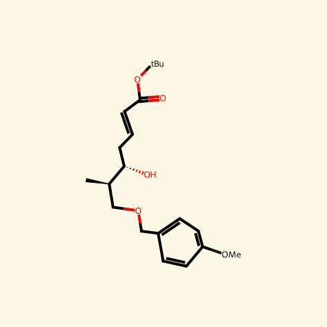 COc1ccc(COC[C@@H](C)[C@@H](O)C/C=C/C(=O)OC(C)(C)C)cc1